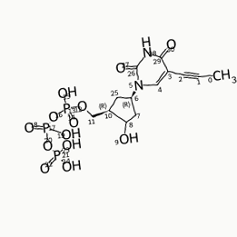 CC#Cc1cn([C@H]2CC(O)[C@@H](COP(=O)(O)OP(=O)(O)OP(=O)(O)O)C2)c(=O)[nH]c1=O